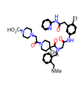 CCc1ccc(NC(=O)CN(Cc2ccccc2CNC)C(=O)C2(C)CCN(C(=O)CN3CCN(C(=O)O)CC3)CC2)cc1CC(=O)Nc1ccccn1